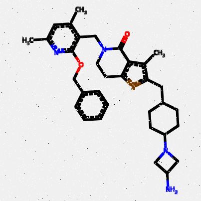 Cc1cc(C)c(CN2CCc3sc(CC4CCC(N5CC(N)C5)CC4)c(C)c3C2=O)c(OCc2ccccc2)n1